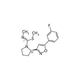 C/N=C(\SC)N1CCC[C@@H]1c1cc(-c2cccc(F)c2)on1